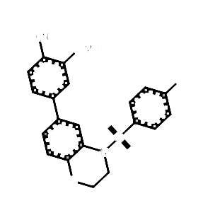 COc1cc(-c2ccc3c(c2)N(S(=O)(=O)c2ccc(O)cc2)CCO3)ccc1C#N